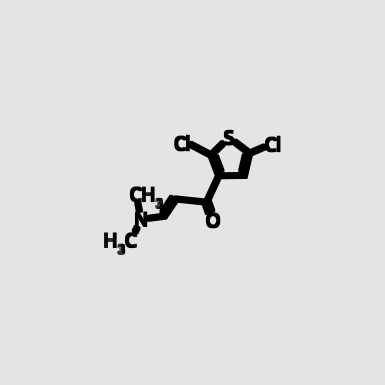 CN(C)/C=C/C(=O)c1cc(Cl)sc1Cl